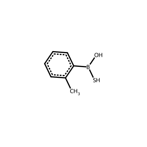 Cc1ccccc1B(O)S